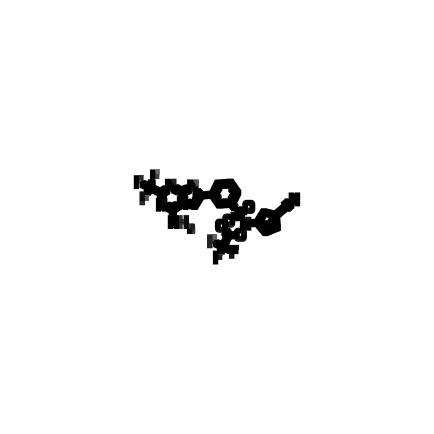 N#CC12CCC(N(OC(=O)C(F)(F)F)S(=O)(=O)c3cccc(-c4cn5c(N)nc(C(F)(F)F)nc5n4)c3)(C1)C2